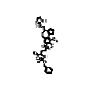 COc1c(S(=O)(=O)CCC(NC(=O)OCc2ccccc2)C(=O)O)cc2c(c1OC)C1=C(CCC1)C(=NNC1=NCCN1)CC2